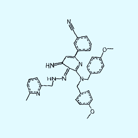 COc1ccc(CN(Cc2ccc(OC)cc2)C2=NC(c3cccc(C#N)c3)=CC(=N)/C2=N\NCc2cccc(C)n2)cc1